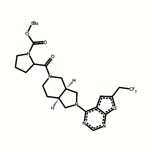 CC(C)(C)OC(=O)N1CCCC1C(=O)N1CC[C@@H]2CN(c3ncnc4sc(CC(F)(F)F)cc34)C[C@@H]2C1